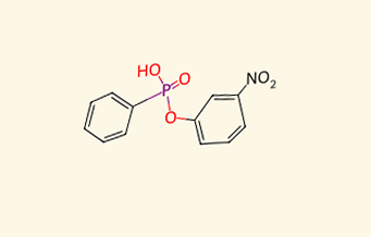 O=[N+]([O-])c1cccc(OP(=O)(O)c2ccccc2)c1